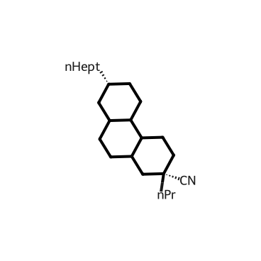 CCCCCCC[C@@H]1CCC2C(CCC3C[C@](C#N)(CCC)CCC32)C1